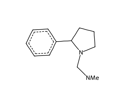 CNCN1CCCC1c1ccccc1